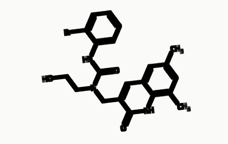 Cc1cc(C)c2[nH]c(=O)c(CN(CCO)C(=O)Nc3ccccc3Br)cc2c1